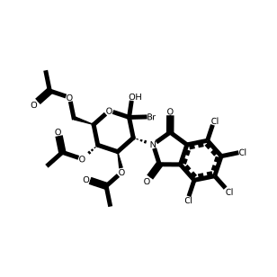 CC(=O)OC[C@H]1OC(O)(Br)[C@H](N2C(=O)c3c(Cl)c(Cl)c(Cl)c(Cl)c3C2=O)[C@@H](OC(C)=O)[C@@H]1OC(C)=O